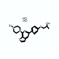 CCN1CCN(c2nc(-c3ccc(SCC(C)O)cc3)cc3ccsc23)CC1.Cl.Cl